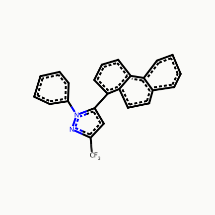 FC(F)(F)c1cc(-c2cccc3c2ccc2ccccc23)n(-c2ccccc2)n1